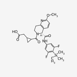 COc1ccc2c(n1)CCN(C(=O)C1CC1CC(=O)O)[C@H]2C(=O)Nc1cc(F)c([Si](C)(C)C)c(F)c1